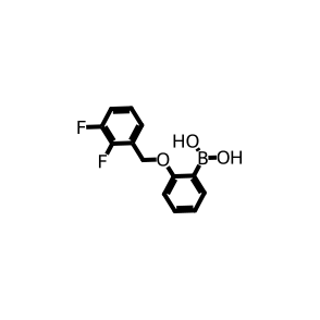 OB(O)c1ccccc1OCc1cccc(F)c1F